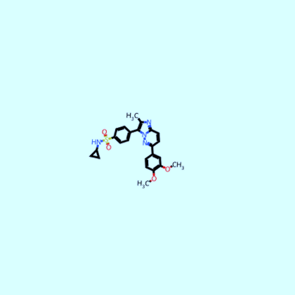 COc1ccc(-c2ccc3nc(C)c(-c4ccc(S(=O)(=O)NC5CC5)cc4)n3n2)cc1OC